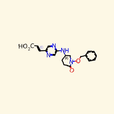 O=C(O)/C=C/c1cnc(N[C@@H]2CCC(=O)N(OCc3ccccc3)C2)cn1